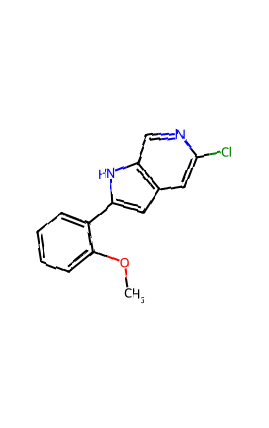 COc1ccccc1-c1cc2cc(Cl)ncc2[nH]1